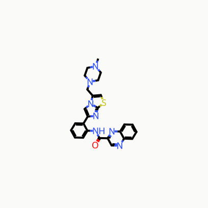 CN1CCN(Cc2csc3nc(-c4ccccc4NC(=O)c4cnc5ccccc5n4)cn23)CC1